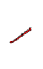 CC(C)(C)[Si](C)(C)OCCOCCOCCOCCOC(=O)OCCOCCOCCOCCO[Si](C)(C)C(C)(C)C